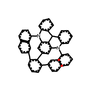 c1ccc(-c2cccc(-c3ccccc3)c2-c2cc3c4c(c2)N(c2ccccc2)c2ccccc2C4c2ccccc2N3c2ccccc2)cc1